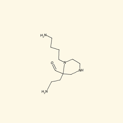 NCCCCN1CCNCC1(C=O)CCN